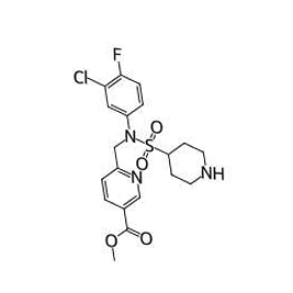 COC(=O)c1ccc(CN(c2ccc(F)c(Cl)c2)S(=O)(=O)C2CCNCC2)nc1